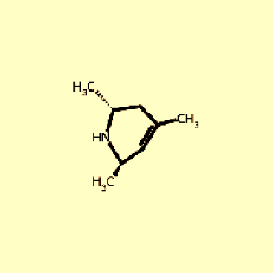 CC1=C[C@@H](C)N[C@H](C)C1